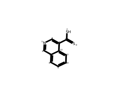 S=C(S)c1cncc2ccccc12